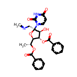 C=NC[C@@]1(n2ccc(=O)[nH]c2=O)O[C@H]([C@@H](C)OC(=O)c2ccccc2)[C@@H](OC(=O)c2ccccc2)[C@@H]1O